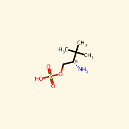 CC(C)(C)[C@H](N)COS(=O)(=O)O